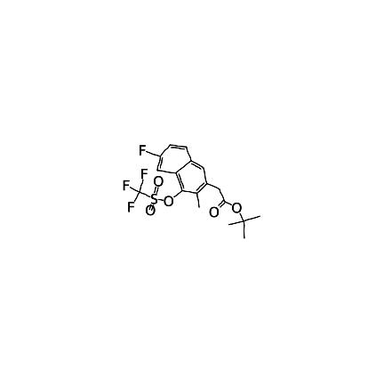 Cc1c(CC(=O)OC(C)(C)C)cc2ccc(F)cc2c1OS(=O)(=O)C(F)(F)F